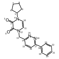 O=c1c(=O)n(C2CCCC2)ccn1Cc1ccc(-c2ccccc2)nn1